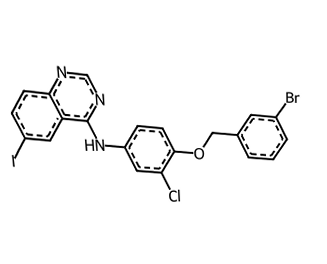 Clc1cc(Nc2ncnc3ccc(I)cc23)ccc1OCc1cccc(Br)c1